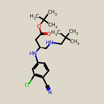 CC(C)(C)CNC[C@H](CC(=O)OC(C)(C)C)Nc1ccc(C#N)c(Cl)c1